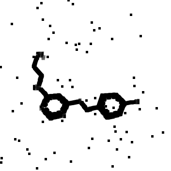 NCCNc1cc(SCc2ccc(Cl)cc2)ncn1